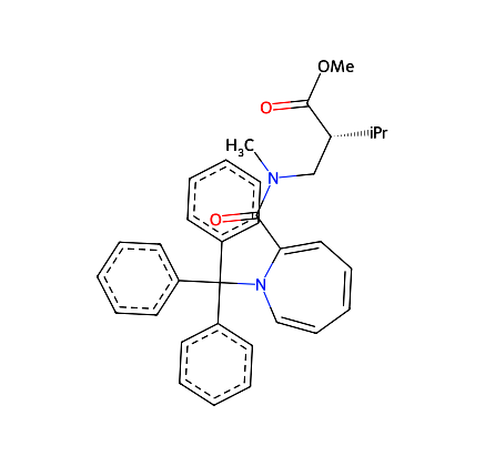 COC(=O)[C@@H](CN(C)C(=O)C1=CC=CC=CN1C(c1ccccc1)(c1ccccc1)c1ccccc1)C(C)C